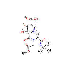 COC(=O)CN1C(=O)c2c(O)c(=O)c(C(=O)O)cn2CC1C(=O)NC(C)(C)C